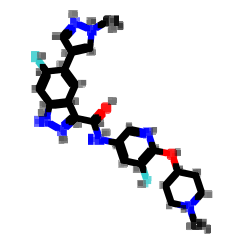 CN1CCC(Oc2ncc(NC(=O)c3n[nH]c4cc(F)c(-c5cnn(C)c5)cc34)cc2F)CC1